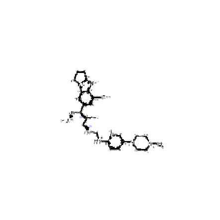 C=N/C(=C(F)\C=N/CNc1ccc(N2CCN(CC)CC2)cn1)c1cc(F)c2nc3n(c2c1)CCC3